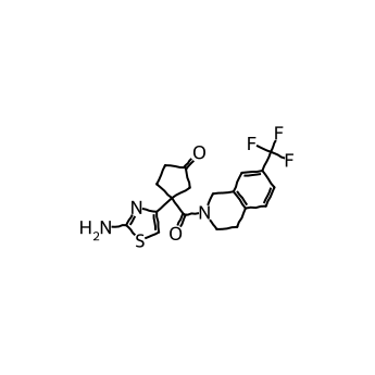 Nc1nc(C2(C(=O)N3CCc4ccc(C(F)(F)F)cc4C3)CCC(=O)C2)cs1